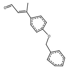 CC(=CC=O)c1ccc(OCc2ccccc2)cc1